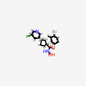 Cc1c(F)cccc1[C@]1(C(=O)NO)CC[C@H](c2cncc(F)c2)C1